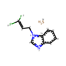 FC(F)=CCn1cnc2ccccc21.S